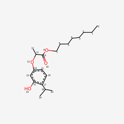 CCCCCCCCOC(=O)C(C)Oc1ccc(C(C)C)c(O)c1